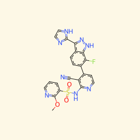 COc1ncccc1S(=O)(=O)Nc1nccc(-c2ccc3c(-c4ncc[nH]4)n[nH]c3c2F)c1C#N